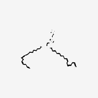 CC/C=C\C/C=C\C/C=C\CCCCCCCC(=O)OC[C@H](COP(=O)(O)OCC[N+](C)(C)C)OC(=O)CCCCCCC/C=C\C/C=C\C/C=C\CC